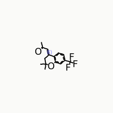 CC(=O)/C=C1\CC(C)(C)Oc2cc(C(F)(F)F)ccc21